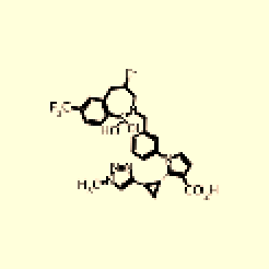 CCC1Cc2cc(C(F)(F)F)ccc2S(O)(O)N(Cc2cccc(-n3ccc(C(=O)O)c3[C@@H]3C[C@H]3c3cn(C)nn3)c2)C1